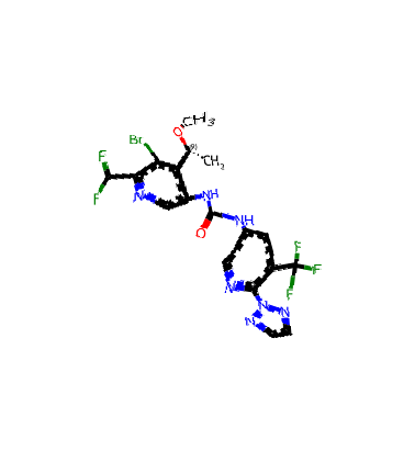 CO[C@H](C)c1c(NC(=O)Nc2cnc(-n3nccn3)c(C(F)(F)F)c2)cnc(C(F)F)c1Br